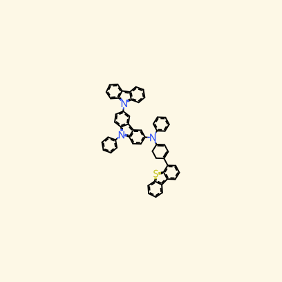 C1=C(c2cccc3c2sc2ccccc23)CCC(N(c2ccccc2)c2ccc3c(c2)c2cc(-n4c5ccccc5c5ccccc54)ccc2n3-c2ccccc2)=C1